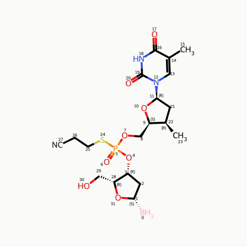 B[C@H]1C[C@@H](OP(=O)(OC[C@H]2O[C@@H](n3cc(C)c(=O)[nH]c3=O)C[C@H]2C)SCCC#N)[C@@H](CO)O1